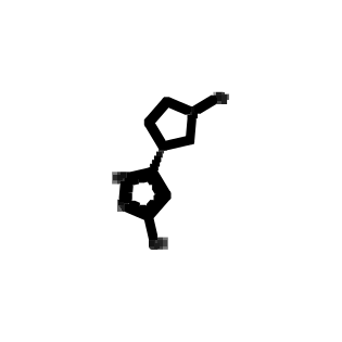 CC(C)N1CC[C@@H](c2cc(O)n[nH]2)C1